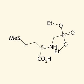 CCOP(=O)(CN[C@@H](CCSC)C(=O)O)OCC